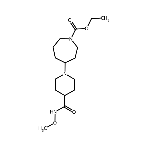 CCOC(=O)N1CCCC(N2CCC(C(=O)NOC)CC2)CC1